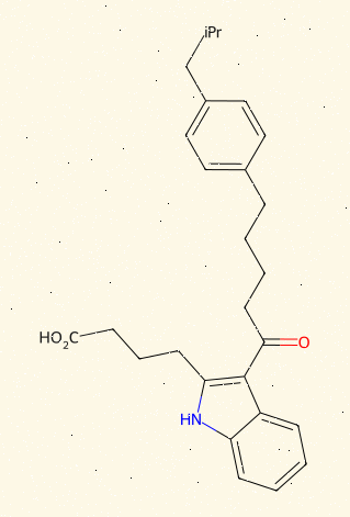 CC(C)Cc1ccc(CCCCC(=O)c2c(CCCC(=O)O)[nH]c3ccccc23)cc1